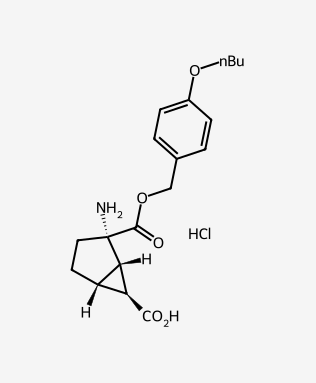 CCCCOc1ccc(COC(=O)[C@]2(N)CC[C@H]3[C@H](C(=O)O)[C@H]32)cc1.Cl